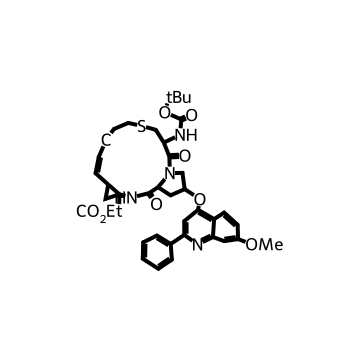 CCOC(=O)C12CC1C=CCCCSCC(NC(=O)OC(C)(C)C)C(=O)N1CC(Oc3cc(-c4ccccc4)nc4cc(OC)ccc34)CC1C(=O)N2